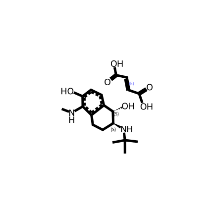 CNc1c(O)ccc2c1CC[C@H](NC(C)(C)C)[C@H]2O.O=C(O)/C=C/C(=O)O